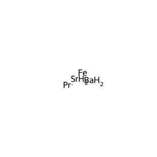 [BaH2].[Fe].[Pr].[SrH2]